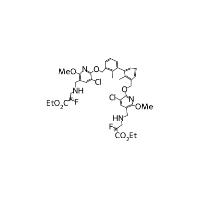 CCOC(=O)[C@H](F)CNCc1cc(Cl)c(OCc2cccc(-c3cccc(COc4nc(OC)c(CNC[C@@H](F)C(=O)OCC)cc4Cl)c3C)c2C)nc1OC